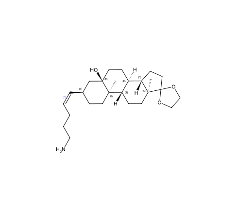 C[C@]12CC[C@H]3[C@@H](CC[C@@]4(O)C[C@H](/C=C\CCCN)CC[C@]34C)[C@@H]1CCC21OCCO1